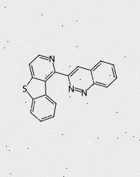 c1ccc2nnc(-c3nccc4sc5ccccc5c34)cc2c1